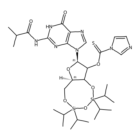 CC(C)C(=O)Nc1nc2c(ncn2[C@@H]2O[C@@H]3CO[Si](C(C)C)(C(C)C)O[Si](C(C)C)(C(C)C)OC3C2OC(=S)n2ccnc2)c(=O)[nH]1